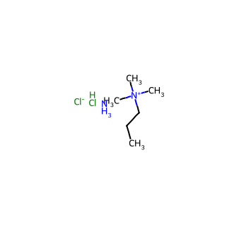 CCC[N+](C)(C)C.Cl.N.[Cl-]